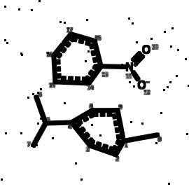 Cc1ccc(C(C)C)cc1.O=[N+]([O-])c1ccccc1